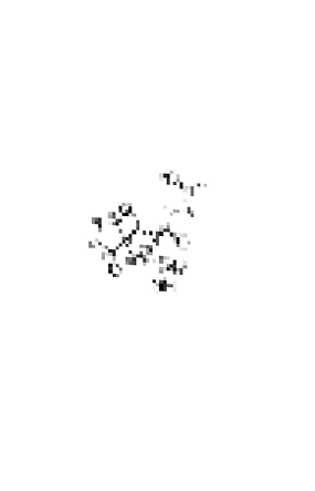 CC(=O)SCC(=O)N1CC2(C[C@H]1C(=O)O)C(=O)CCC2=O